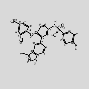 Cc1noc2ccc(-c3cc(NS(=O)(=O)c4ccc(F)cc4)ccc3Oc3ccc(Cl)cc3Cl)cc12